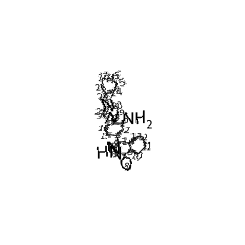 Nc1cc(-c2n[nH]c(=O)c3ccccc23)ccc1N1CCN(CC2CCCCC2)CC1